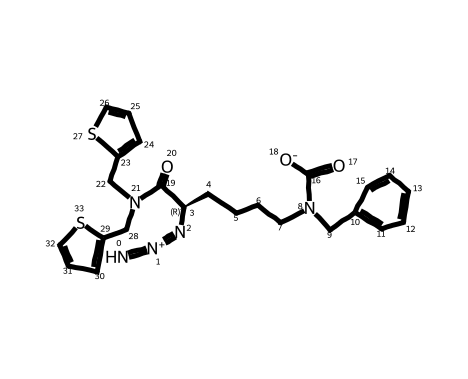 N=[N+]=N[C@H](CCCCN(Cc1ccccc1)C(=O)[O-])C(=O)N(Cc1cccs1)Cc1cccs1